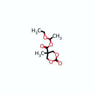 CCOC(C)OC(=O)C1(C)COC(=O)OC1